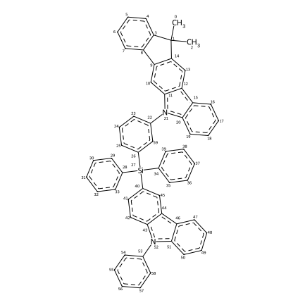 CC1(C)c2ccccc2-c2cc3c(cc21)c1ccccc1n3-c1cccc([Si](c2ccccc2)(c2ccccc2)c2ccc3c(c2)c2ccccc2n3-c2ccccc2)c1